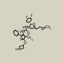 COCCN1C[C@@H](NC(=O)Nc2c(C)c(OC3CNC3)nn2-c2ccccc2)[C@H](c2ccc(F)c(F)c2)O1